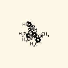 CCOc1ccc(C)cc1-c1ccc(C(=O)NS(=O)(=O)C2=CC=CNC2)c(N2C[C@@H](C)CC2(C)C)n1